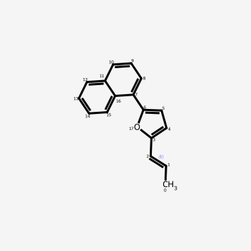 C/C=C/c1ccc(-c2cccc3ccccc23)o1